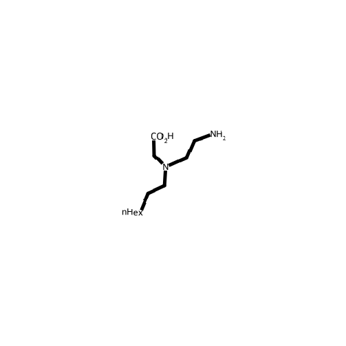 CCCCCCCCN(CCN)CC(=O)O